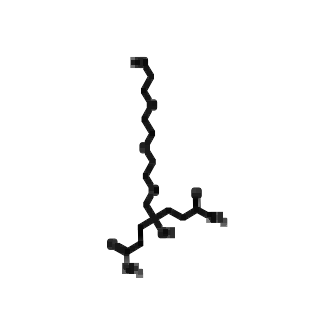 NC(=O)CCC(O)(CCC(N)=O)COCCOCCOCCO